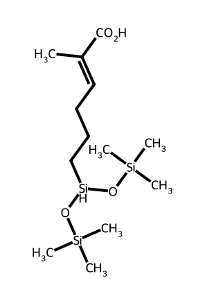 CC(=CCCC[SiH](O[Si](C)(C)C)O[Si](C)(C)C)C(=O)O